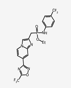 CCOP(=O)(Cc1cn2ccc(-c3noc(C(F)(F)F)n3)cc2n1)Nc1ccc(C(F)(F)F)cc1